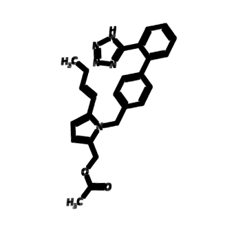 CCC=Cc1ccc(COC(C)=O)n1Cc1ccc(-c2ccccc2-c2nnn[nH]2)cc1